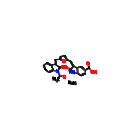 CC(=O)N1C(=O)C(=Cc2ccc(C=C3C(=O)Nc4ccc(C(=O)O)cc43)o2)c2ccccc21.[NaH]